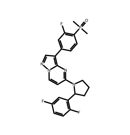 CP(C)(=O)c1ccc(-c2cnn3ccc(N4CCCC4c4cc(F)ccc4F)nc23)cc1F